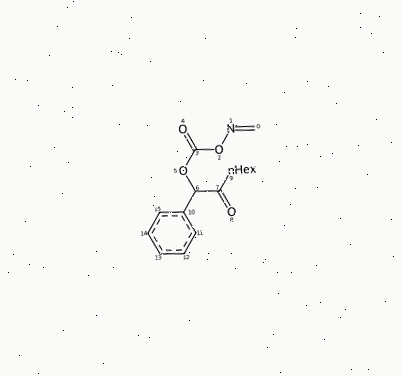 C=NOC(=O)OC(C(=O)CCCCCC)c1ccccc1